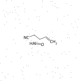 C=CCCC#N.[O]=[AlH]